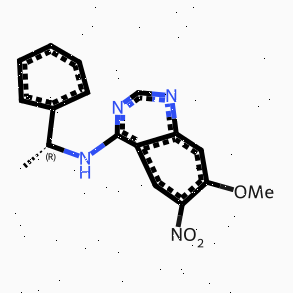 COc1cc2ncnc(N[C@H](C)c3ccccc3)c2cc1[N+](=O)[O-]